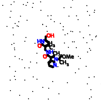 COCC(C)n1c(C)c(C(=O)NCc2c(C)cc(CO)[nH]c2=O)c2cccnc21